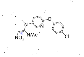 CN/C(=C\[N+](=O)[O-])N(C)c1ccc(Oc2ccc(Cl)cc2)nc1